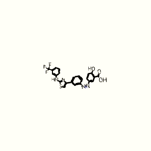 O=C(O)c1cc(/N=N\c2cccc(-c3csc(Nc4cccc(C(F)(F)F)c4)n3)c2)ccc1O